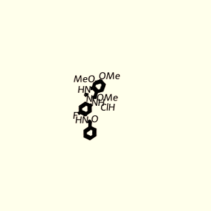 COc1ccc2c(c1OC)NC=NC2(Nc1ccc(F)c(NC(=O)c2ccccc2)c1)OC.Cl